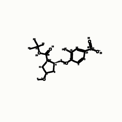 CO[C@@H]1C[C@@H](COc2ccc([N+](=O)[O-])cc2F)N(C(=O)OC(C)(C)C)C1